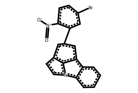 O=[N+]([O-])c1ccc(Br)cc1-c1cc2ccn3c4ccccc4c(c1)c23